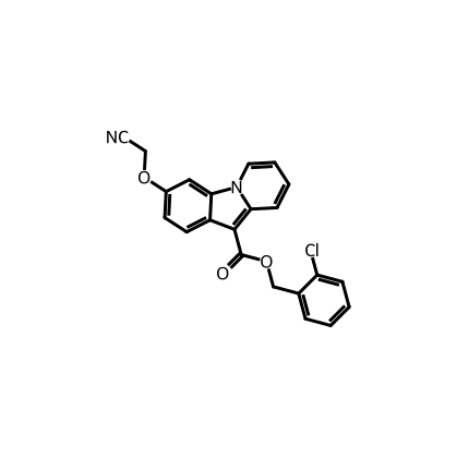 N#CCOc1ccc2c(C(=O)OCc3ccccc3Cl)c3ccccn3c2c1